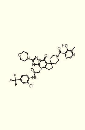 Cc1ncnc(C(=O)N2CCC3(CCc4c3c(=O)n3nc(N5CCOCC5)nc3n4CC(=O)Nc3ccc(C(F)(F)F)cc3Cl)CC2)c1O